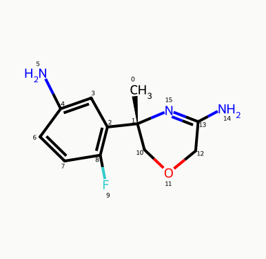 C[C@]1(c2cc(N)ccc2F)COCC(N)=N1